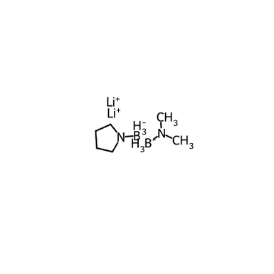 [BH3-]N(C)C.[BH3-]N1CCCC1.[Li+].[Li+]